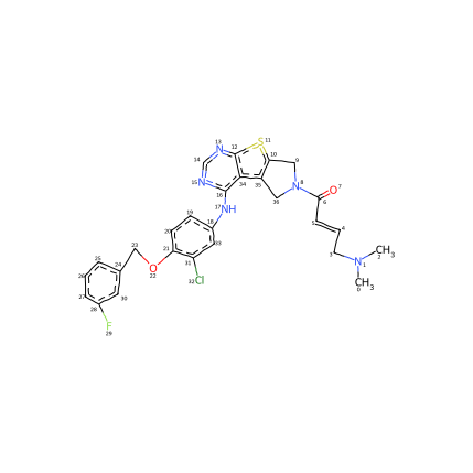 CN(C)CC=CC(=O)N1Cc2sc3ncnc(Nc4ccc(OCc5cccc(F)c5)c(Cl)c4)c3c2C1